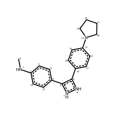 CNc1ccc(-c2[nH][nH]c2-c2ccc(N3CCCC3)cc2)cc1